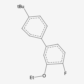 CCOc1cc(-c2ccc(C(C)(C)C)cc2)ccc1F